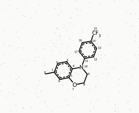 Cc1ccc2c(c1)OCCN2c1ccc(C(F)(F)F)cc1